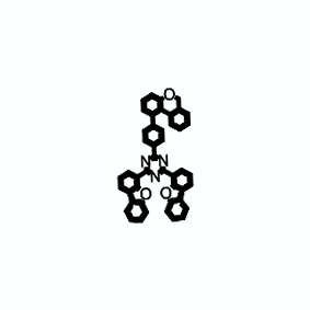 c1ccc2c(c1)COc1cccc(-c3ccc(-c4nc(-c5cccc6c5oc5ccccc56)nc(-c5cccc6c5oc5ccccc56)n4)cc3)c1-2